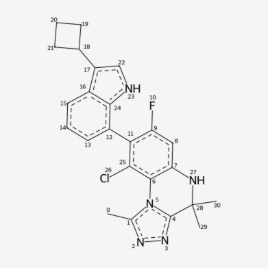 Cc1nnc2n1-c1c(cc(F)c(-c3cccc4c(C5CCC5)c[nH]c34)c1Cl)NC2(C)C